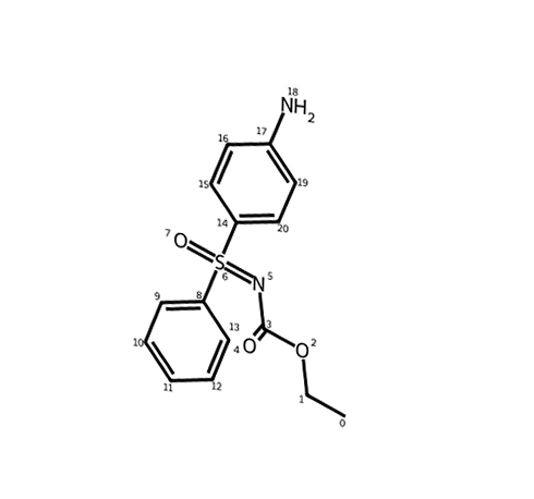 CCOC(=O)N=S(=O)(c1ccccc1)c1ccc(N)cc1